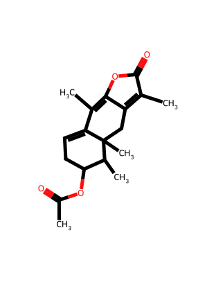 CC(=O)OC1CC=C2C(C)=C3OC(=O)C(C)=C3CC2(C)C1C